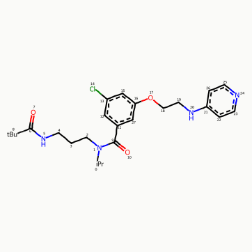 CC(C)N(CCCNC(=O)C(C)(C)C)C(=O)c1cc(Cl)cc(OCCNc2ccncc2)c1